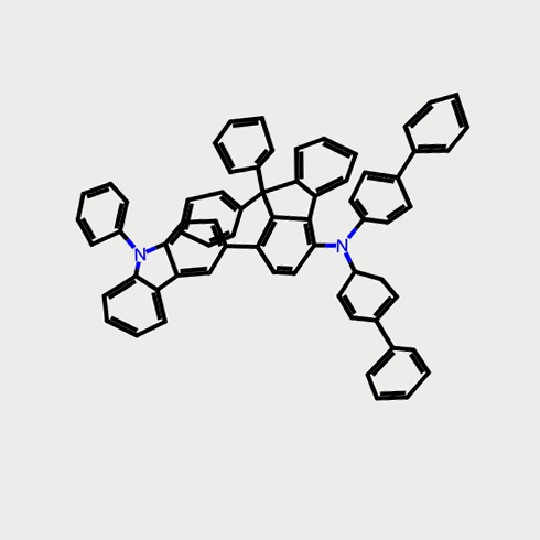 C1=CC(N(c2ccc(-c3ccccc3)cc2)c2ccc(-c3ccc4c(c3)c3ccccc3n4-c3ccccc3)c3c2-c2ccccc2C3(c2ccccc2)c2ccccc2)CC=C1c1ccccc1